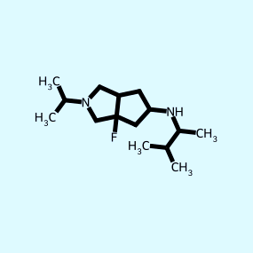 CC(C)C(C)NC1CC2CN(C(C)C)CC2(F)C1